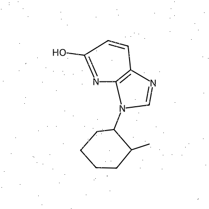 CC1CCCCC1n1cnc2ccc(O)nc21